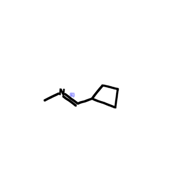 C/N=C/C1CCC1